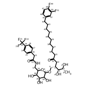 C[C@@H](O)[C@@H](O)[C@H](COC1OC(CNC(=O)Cc2ccc(C(F)(F)F)cc2)C(O)C(O)C1O)CC(=O)CCCCCCCCCCc1ccc(F)c(F)c1